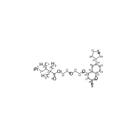 CC(C)CC(C)C(C)(C)C(=O)OCCOCCOc1cc(=S)oc2ccc(C3CCSC3)cc12